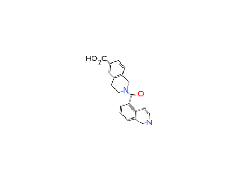 O=C(O)c1ccc2c(c1)CCN(C(=O)c1cccc3cnccc13)C2